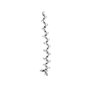 S=S=S=S=S=S=S=S=S=S=S=S=S=S=S=S=S(=S)=S